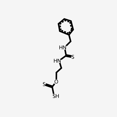 S=C(NCCOC(=S)S)NCc1ccccc1